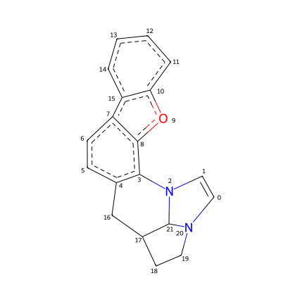 C1=CN2c3c(ccc4c3oc3ccccc34)CC3CCN1C32